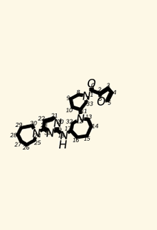 O=C(c1ccco1)N1CCCC(N2CCCCC(Nc3nccc(N4CCCCCC4)n3)C2)C1